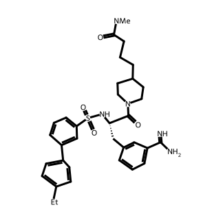 CCc1ccc(-c2cccc(S(=O)(=O)N[C@@H](Cc3cccc(C(=N)N)c3)C(=O)N3CCC(CCCC(=O)NC)CC3)c2)cc1